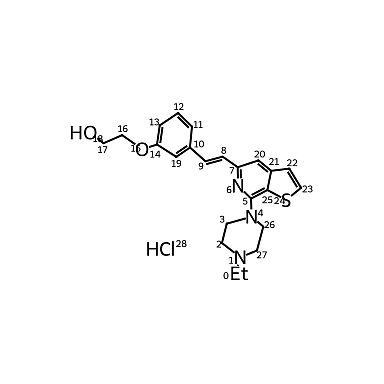 CCN1CCN(c2nc(/C=C/c3cccc(OCCO)c3)cc3ccsc23)CC1.Cl